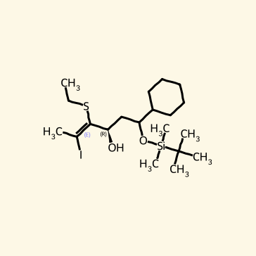 CCS/C(=C(\C)I)[C@H](O)CC(O[Si](C)(C)C(C)(C)C)C1CCCCC1